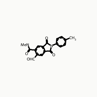 CNC(=O)c1cc2c(cc1C=O)C(=O)N(c1ccc(C)cc1)C2=O